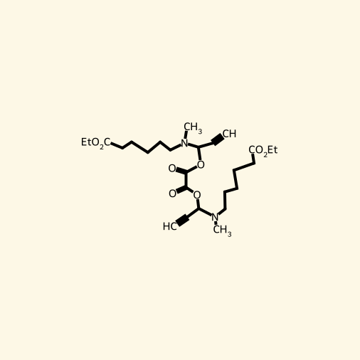 C#CC(OC(=O)C(=O)OC(C#C)N(C)CCCCCC(=O)OCC)N(C)CCCCCC(=O)OCC